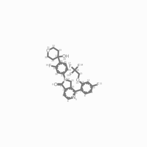 O=C1c2ccnc(-c3ccc(F)cc3OCC(F)(F)F)c2CN1c1ccc(C2(O)CCOCC2)c(F)c1